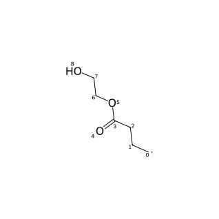 [CH2]CCC(=O)OCCO